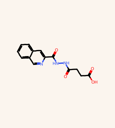 O=C(O)CCC(=O)NNC(=O)c1cc2ccccc2cn1